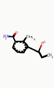 CCC(O)c1cccc(C(N)=O)c1C